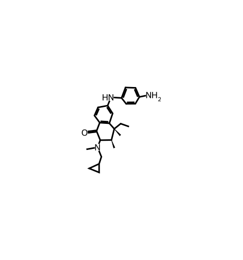 CC[C@@]1(C)c2cc(Nc3ccc(N)cc3)ccc2C(=O)C(N(C)CC2CC2)[C@@H]1C